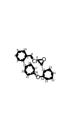 C1CO1.C=Cc1ccccc1.c1ccc(Oc2ccccc2)cc1